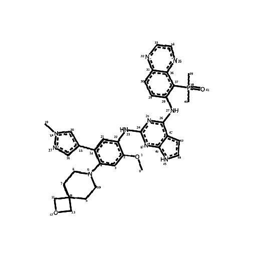 COc1cc(N2CCC3(CC2)COC3)c(-c2cnn(C)c2)cc1Nc1nc(Nc2ccc3nccnc3c2P(C)(C)=O)c2cc[nH]c2n1